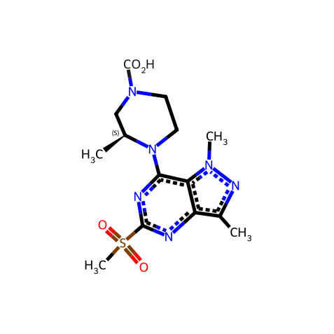 Cc1nn(C)c2c(N3CCN(C(=O)O)C[C@@H]3C)nc(S(C)(=O)=O)nc12